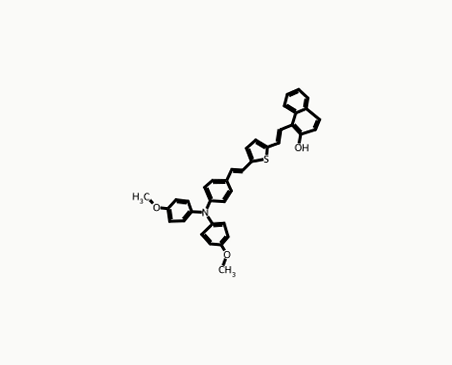 COc1ccc(N(c2ccc(C=Cc3ccc(C=Cc4c(O)ccc5ccccc45)s3)cc2)c2ccc(OC)cc2)cc1